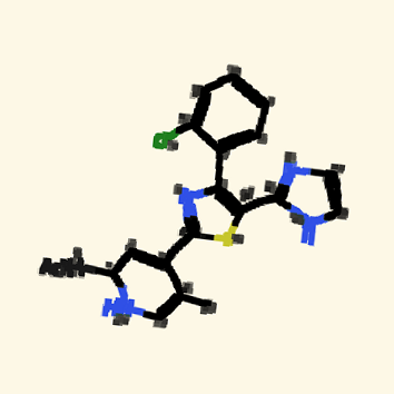 CC(=O)NC1C=C(c2nc(-c3ccccc3Cl)c(-c3ncc[nH]3)s2)C(C)=CN1